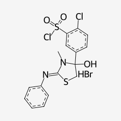 Br.CN1C(=Nc2ccccc2)SCC1(O)c1ccc(Cl)c(S(=O)(=O)Cl)c1